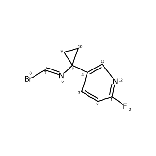 Fc1ccc(C2(N=CBr)CC2)cn1